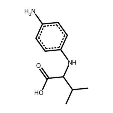 CC(C)C(Nc1ccc(N)cc1)C(=O)O